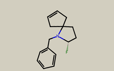 F[C@H]1CCC2(CC=CC2)N1Cc1ccccc1